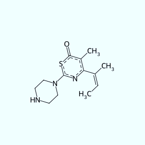 C/C=C(/C)c1nc(N2CCNCC2)sc(=O)c1C